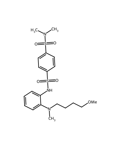 COCCCCN(C)c1ccccc1NS(=O)(=O)c1ccc(S(=O)(=O)N(C)C)cc1